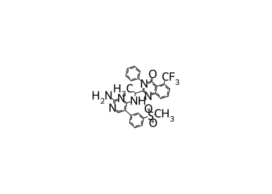 CC(Nc1nc(N)ncc1-c1cccc(S(C)(=O)=O)c1)c1nc2cccc(C(F)(F)F)c2c(=O)n1-c1ccccc1